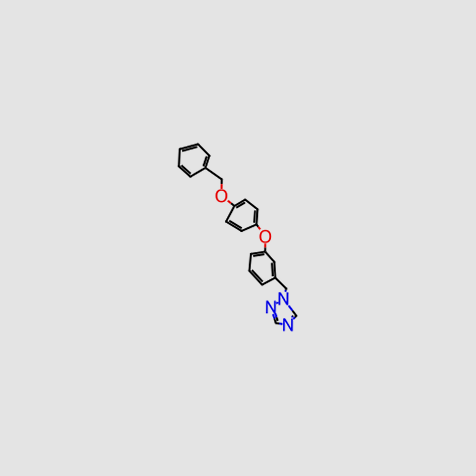 c1ccc(COc2ccc(Oc3cccc(Cn4cncn4)c3)cc2)cc1